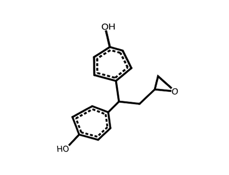 Oc1ccc(C(CC2CO2)c2ccc(O)cc2)cc1